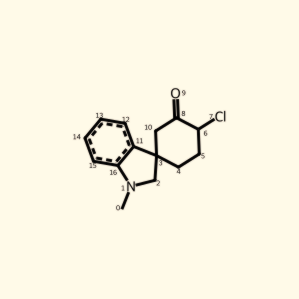 CN1CC2(CCC(Cl)C(=O)C2)c2ccccc21